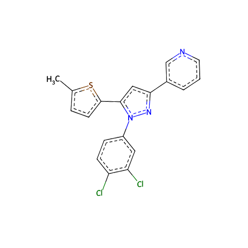 Cc1ccc(-c2cc(-c3cccnc3)nn2-c2ccc(Cl)c(Cl)c2)s1